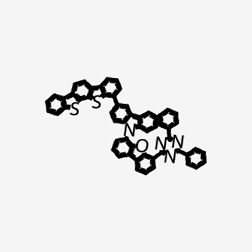 c1ccc(-c2nc(-c3ccccc3)nc(-c3cccc4c3oc3c(-n5c6ccccc6c6cc(-c7cccc8c7sc7c8ccc8c9ccccc9sc87)ccc65)cccc34)n2)cc1